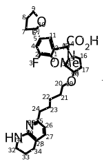 COc1c(F)cc([C@@H]2CCCO2)cc1[C@@H](C(=O)O)N1CC[C@@H](OCCCCCc2ccc3c(n2)NCCC3)C1